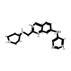 c1ncc(Nc2ccc3cnc(CSC4CCOCC4)nc3c2)cn1